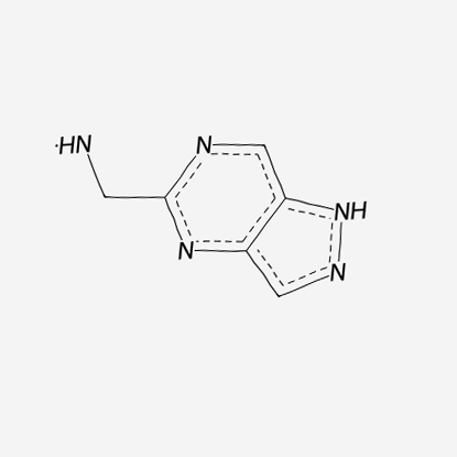 [NH]Cc1ncc2[nH]ncc2n1